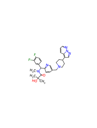 CN(C(=O)C(C)(C)O)C(c1ccc(F)c(F)c1)c1ccc(CN2CCC(c3cnn4ncccc34)CC2)cn1